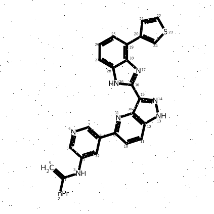 C=C(CCC)Nc1cncc(-c2ccc3[nH]nc(-c4nc5c(-c6ccsc6)cccc5[nH]4)c3n2)c1